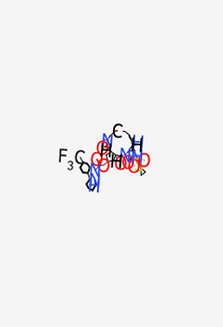 CN1CCCC/C=C\[C@@H]2C[C@@]2(C(=O)NS(=O)(=O)C2CC2)NC(=O)[C@@H]2C[C@@H](OC(=O)Nc3cc(C(F)(F)F)ccc3-c3ccccn3)C[C@H]2C1=O